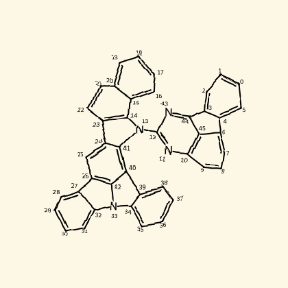 c1ccc2c(c1)-c1cccc3nc(-n4c5c6ccccc6ccc5c5cc6c7ccccc7n7c8ccccc8c(c54)c67)nc-2c13